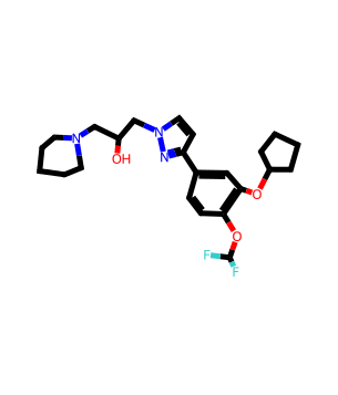 OC(CN1CCCCC1)Cn1ccc(-c2ccc(OC(F)F)c(OC3CCCC3)c2)n1